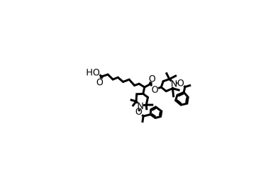 CC(ON1C(C)(C)CC(OC(=O)C(CCCCCCCC(=O)O)C2CC(C)(C)N(OC(C)c3ccccc3)C(C)(C)C2)CC1(C)C)c1ccccc1